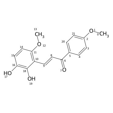 COc1ccc(C(=O)C=Cc2c(OC)ccc(O)c2O)cc1